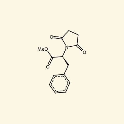 COC(=O)[C@H](Cc1ccccc1)N1C(=O)CCC1=O